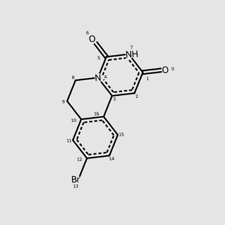 O=c1cc2n(c(=O)[nH]1)CCc1cc(Br)ccc1-2